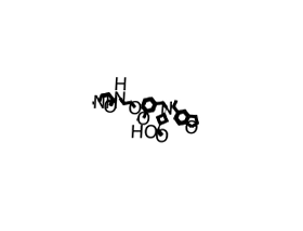 CN/C=C\C(=O)NCCOc1ccc(CN(C(C)c2ccc3c(c2)CCO3)[C@H]2C[C@H](C(=O)O)C2)cc1OC